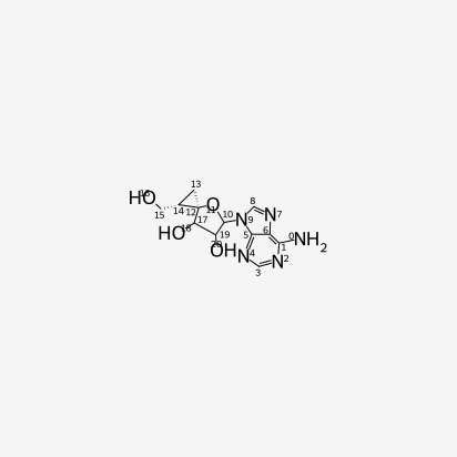 Nc1ncnc2c1ncn2C1O[C@@]2(C[C@H]2CO)C(O)C1O